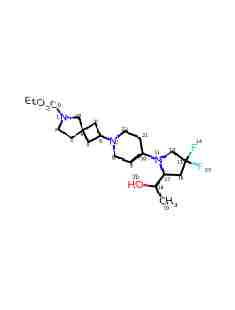 CCOC(=O)N1CCC2(CC(N3CCC(N4CC(F)(F)CC4C(C)O)CC3)C2)C1